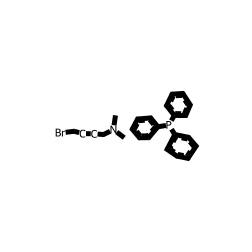 CN(C)CCCCBr.c1ccc(P(c2ccccc2)c2ccccc2)cc1